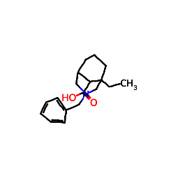 CCC12CCCC(CN(Cc3ccccc3)C1)C2C(=O)O